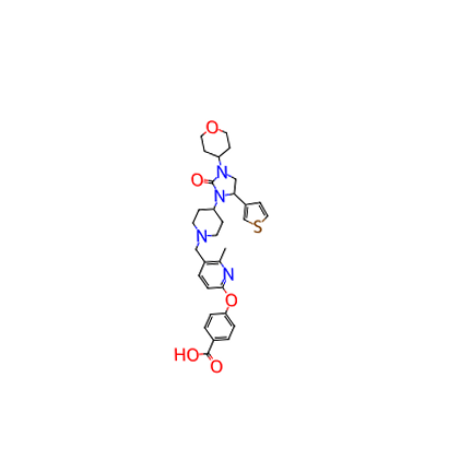 Cc1nc(Oc2ccc(C(=O)O)cc2)ccc1CN1CCC(N2C(=O)N(C3CCOCC3)CC2c2ccsc2)CC1